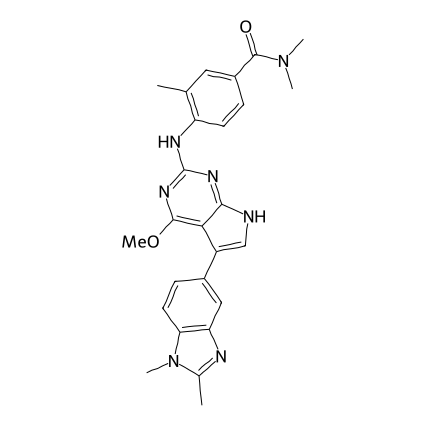 COc1nc(Nc2ccc(C(=O)N(C)C)cc2C)nc2[nH]cc(-c3ccc4c(c3)nc(C)n4C)c12